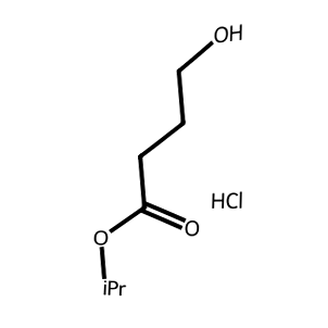 CC(C)OC(=O)CCCO.Cl